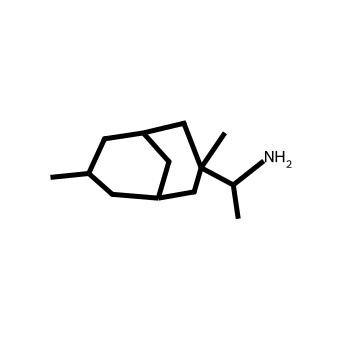 CC1CC2CC(C1)CC(C)(C(C)N)C2